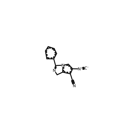 [C-]#[N+]c1cn2c(c1C#N)CN=C2c1ccccc1